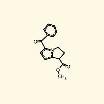 COC(=O)C1CCn2c(C(=O)c3ccccc3)ccc21